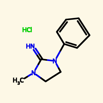 CN1CCN(c2ccccc2)C1=N.Cl